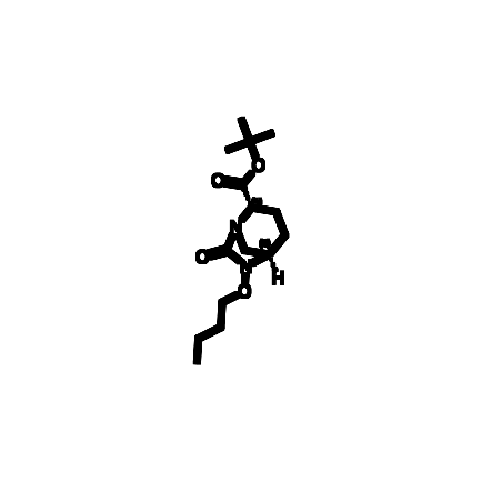 CCCCON1C(=O)N2C[C@H]1CC[C@H]2C(=O)OC(C)(C)C